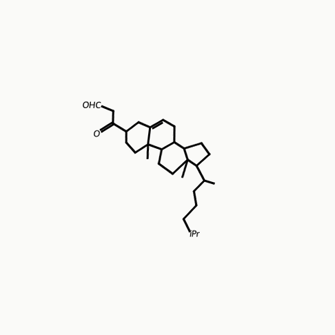 CC(C)CCCC(C)C1CCC2C3CC=C4CC(C(=O)CC=O)CCC4(C)C3CCC12C